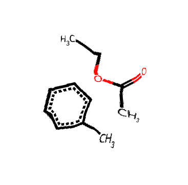 CCOC(C)=O.Cc1ccccc1